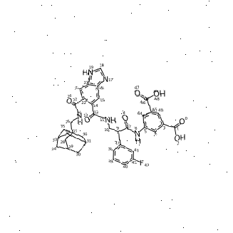 O=C(O)c1cc(NC(=O)C(CNC(=O)c2cc3nc[nH]c3cc2C(=O)NCC23CC4CC(CC(C4)C2)C3)c2cccc(F)c2)cc(C(=O)O)c1